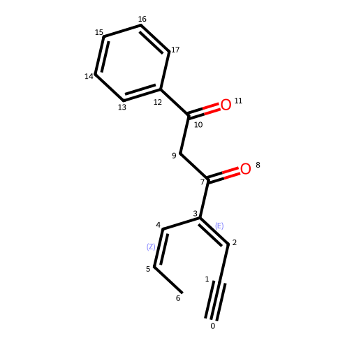 C#C/C=C(\C=C/C)C(=O)CC(=O)c1ccccc1